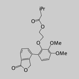 COc1ccc(-c2cccc3c2COC3=O)c(OCCOC(=O)CC(C)C)c1OC